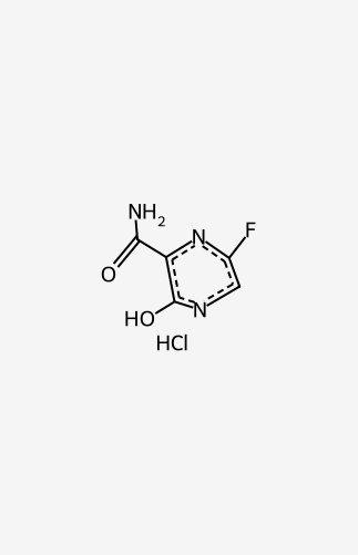 Cl.NC(=O)c1nc(F)cnc1O